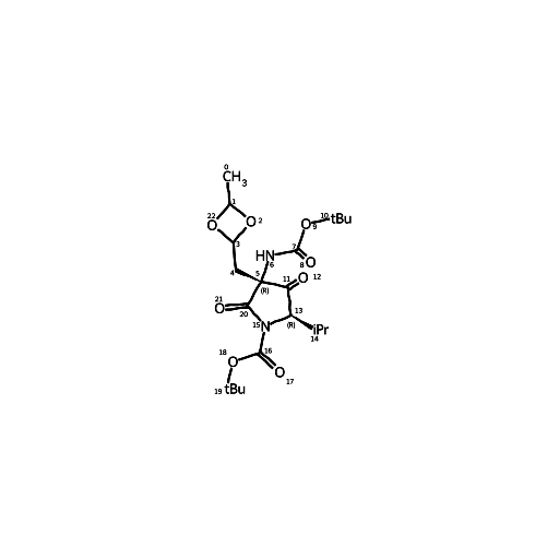 CC1OC(C[C@@]2(NC(=O)OC(C)(C)C)C(=O)[C@@H](C(C)C)N(C(=O)OC(C)(C)C)C2=O)O1